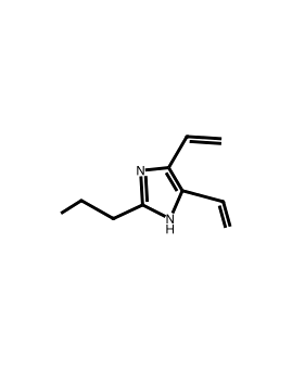 C=Cc1nc(CCC)[nH]c1C=C